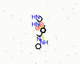 Cc1ccc(-c2sc(NC3CCCCC3)nc2C)cc1S(=O)(=O)NC1CCCNC1